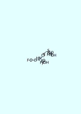 O=C(NO)c1csc(CCCN2CCC(CNC3CC3c3ccc(-c4ccc(F)cc4)cc3)CC2)n1.O=C(O)C(F)(F)F